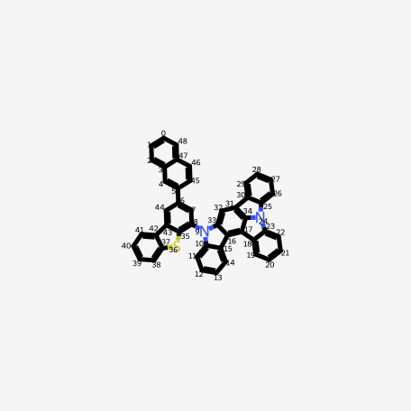 c1ccc2cc(-c3cc(-n4c5ccccc5c5c6c7ccccc7n7c8ccccc8c(cc54)c67)c4sc5ccccc5c4c3)ccc2c1